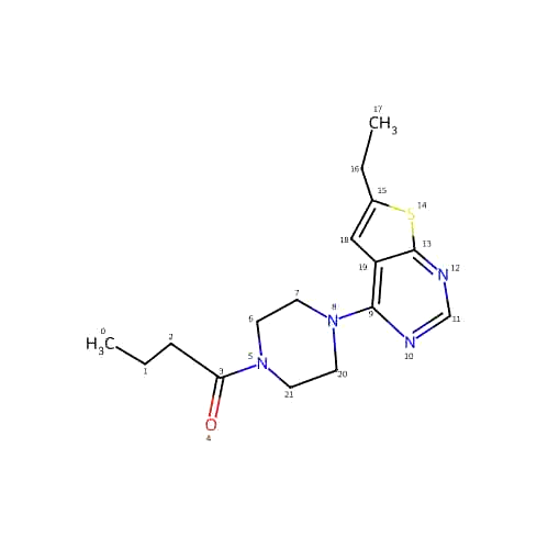 CCCC(=O)N1CCN(c2ncnc3sc(CC)cc23)CC1